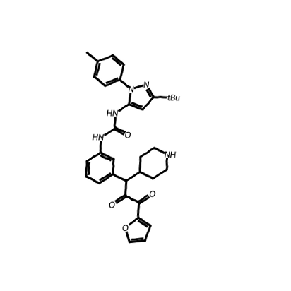 Cc1ccc(-n2nc(C(C)(C)C)cc2NC(=O)Nc2cccc(C(C(=O)C(=O)c3ccco3)C3CCNCC3)c2)cc1